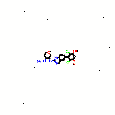 COc1cc(OC)c(Cl)c(-c2ccc3nc(N[C@@H]4COCC[C@@H]4N=[N+]=[N-])ncc3c2)c1Cl